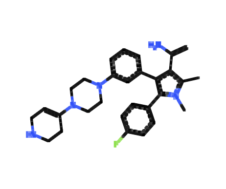 C=C(N)c1c(-c2cccc(N3CCN(C4=CCNCC4)CC3)c2)c(-c2ccc(F)cc2)n(C)c1C